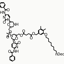 CCCCCCCCCCCCCCCCCCOc1cc(COC(=O)CCC(=O)OC[C@@H]2CN(P(C)(=O)OC[C@@H]3CNC[C@H](n4ccc(NC(=O)c5ccccc5)nc4=O)O3)C[C@H](n3ccc(NC(=O)c4ccccc4)nc3=O)O2)cc(C)c1C